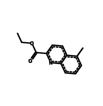 CCOC(=O)c1ccc2c(C)cccc2n1